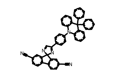 N#Cc1ccc2c(c1)C1(N=CC(c3ccc(N4c5ccccc5C(c5ccccc5)(c5ccccc5)c5ccccc54)cc3)=N1)c1cc(C#N)ccc1-2